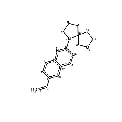 C=Cc1ccc2nc(N3CCCC34CCOC4)ncc2c1